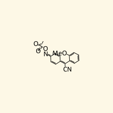 COc1ccccc1C(C#N)=C1C=CC(=NOS(C)(=O)=O)C=C1